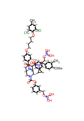 COc1ccc(CN(C(=O)C2C(c3ccc(OCCCCOc4c(Cl)cc(C)cc4Cl)cc3)CC3CN(C(=O)Oc4cccc(CON(O)O)c4)CC2N3C(=O)Oc2cccc(CON(O)O)c2)C2CC2)cc1C